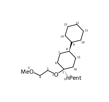 CCCCC[C@]1(OCCOC)CC[C@@H](C2CCCCC2)CC1